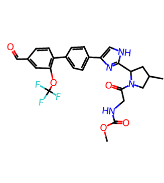 COC(=O)NCC(=O)N1CC(C)CC1c1nc(-c2ccc(-c3ccc(C=O)cc3OC(F)(F)F)cc2)c[nH]1